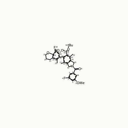 COc1cc(F)cc(C(=O)N2Cc3c(C)c(-c4cc(F)c5c(c4C)CCCO5)c([C@H](OC(C)(C)C)C(=O)O)c(C)c3C2)c1